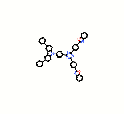 c1ccc(-c2ccc3c(c2)c2cc(-c4ccccc4)ccc2n3-c2ccc(-c3nc(-c4ccc(-c5nc6ccccc6o5)cc4)nc(-c4ccc(-c5nc6ccccc6o5)cc4)n3)cc2)cc1